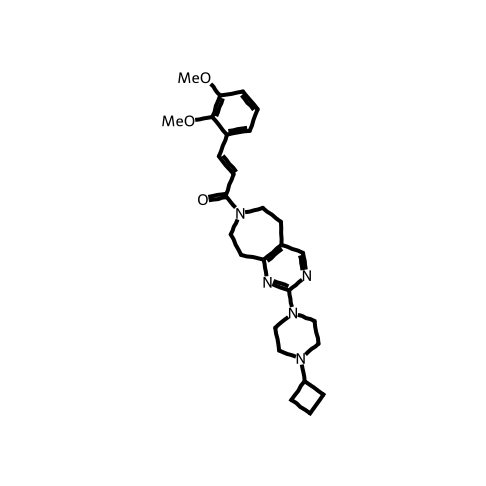 COc1cccc(C=CC(=O)N2CCc3cnc(N4CCN(C5CCC5)CC4)nc3CC2)c1OC